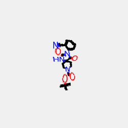 CC(C)(C)OC(=O)N1CCC2(CC1)NC(=O)N(c1ccccc1C#N)C2=O